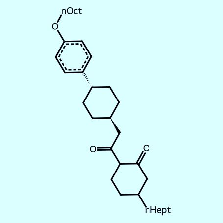 CCCCCCCCOc1ccc([C@H]2CC[C@H](CC(=O)C3CCC(CCCCCCC)CC3=O)CC2)cc1